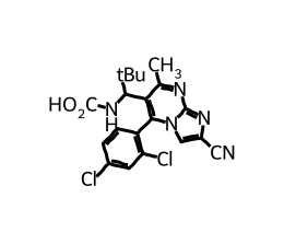 Cc1nc2nc(C#N)cn2c(-c2ccc(Cl)cc2Cl)c1C(NC(=O)O)C(C)(C)C